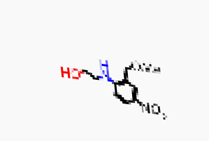 COCc1cc([N+](=O)[O-])ccc1NCCO